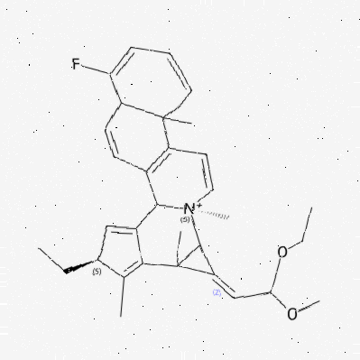 CCOC(/C=C1\C2C1(C)C1=C(C)[C@@H](CC)C=C1C1C3=C(C=C[N@+]12C)C1(C)C=CC=C(F)C1C=C3)OC